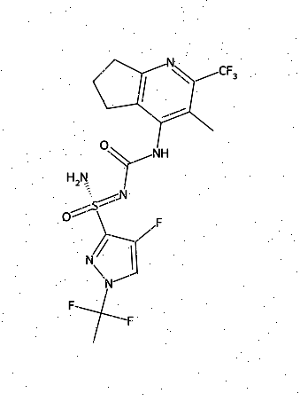 Cc1c(C(F)(F)F)nc2c(c1NC(=O)N=[S@](N)(=O)c1nn(C(C)(F)F)cc1F)CCC2